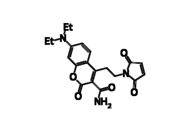 CCN(CC)c1ccc2c(CCN3C(=O)C=CC3=O)c(C(N)=O)c(=O)oc2c1